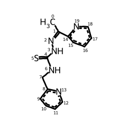 CC(=NNC(=S)NCc1ccccn1)c1ccccn1